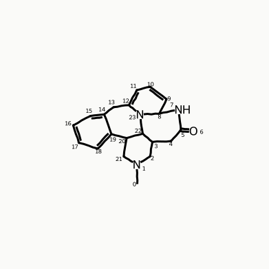 CN1CC2CC(=O)NC3C=CC=C4Cc5ccccc5C(C1)C2N43